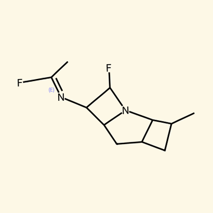 C/C(F)=N\C1C(F)N2C1CC1CC(C)C12